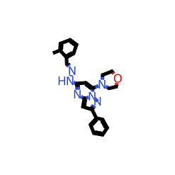 Cc1ccccc1C=NNc1cc(N2CCOCC2)n2nc(-c3ccccc3)cc2n1